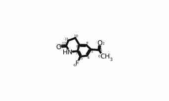 CC(=O)c1cc(F)c2c(c1)CCC(=O)N2